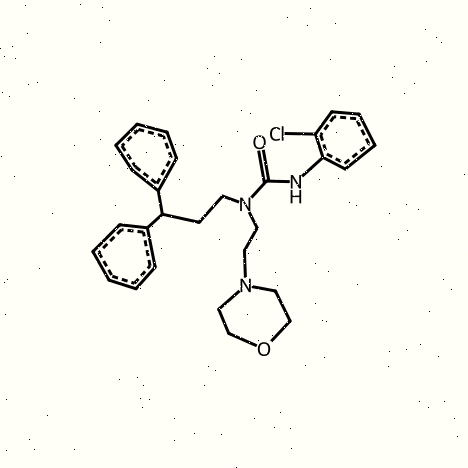 O=C(Nc1ccccc1Cl)N(CCC(c1ccccc1)c1ccccc1)CCN1CCOCC1